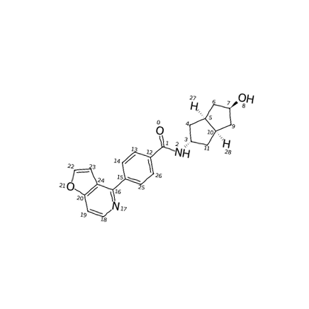 O=C(N[C@@H]1C[C@H]2C[C@@H](O)C[C@H]2C1)c1ccc(-c2nccc3occc23)cc1